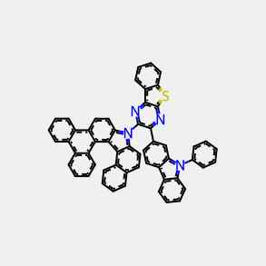 c1ccc(-n2c3ccccc3c3ccc(-c4nc5sc6ccccc6c5nc4-n4c5ccc6ccccc6c5c5c6c7ccccc7c7ccccc7c6ccc54)cc32)cc1